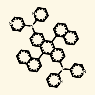 c1ccc(N(c2ccncc2)c2ccc3c(-c4cccc5ccccc45)c4cc(N(c5ccncc5)c5ccccn5)ccc4c(-c4cccc5ccccc45)c3c2)nc1